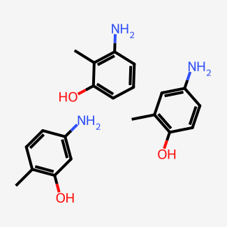 Cc1c(N)cccc1O.Cc1cc(N)ccc1O.Cc1ccc(N)cc1O